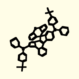 CC(C)(C)c1ccc(N(c2ccccc2)c2ccc3c(c2)C2(c4ccccc4Sc4ccccc42)c2c-3c3ccccc3c3cc(N(c4ccccc4)c4ccc(C(C)(C)C)cc4)ccc23)cc1